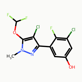 Cn1nc(-c2cc(O)cc(Cl)c2F)c(Cl)c1OC(F)F